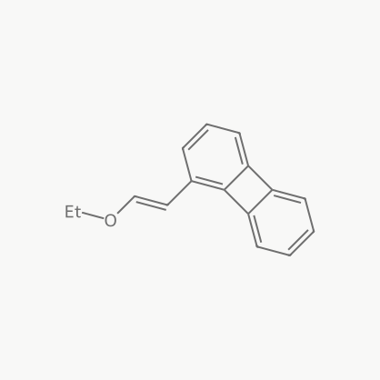 CCOC=Cc1cccc2c1-c1ccccc1-2